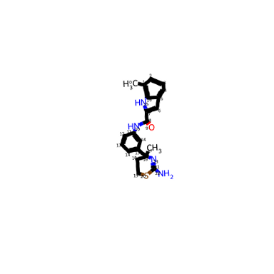 Cc1cccc2cc(C(=O)Nc3cccc(C4(C)CCSC(N)=N4)c3)[nH]c12